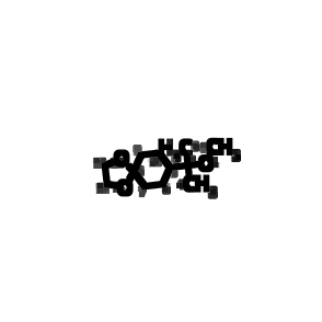 COC(C)(C)C1CCC2(CC1)OCCO2